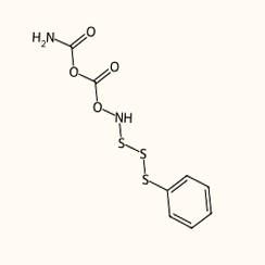 NC(=O)OC(=O)ONSSSc1ccccc1